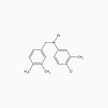 CCN(Cc1ccc(C)c(C)c1)c1ccc(Cl)c(C)c1